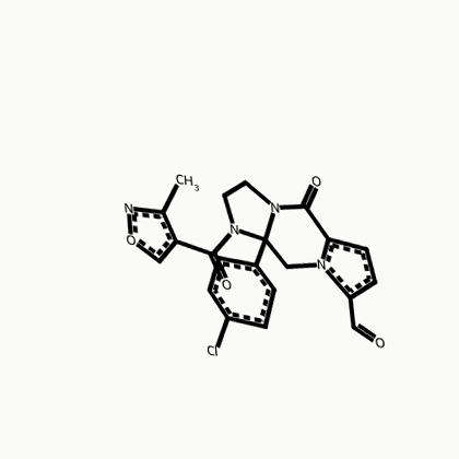 Cc1nocc1C(=O)N1CCN2C(=O)c3ccc(C=O)n3CC12c1ccc(Cl)cc1